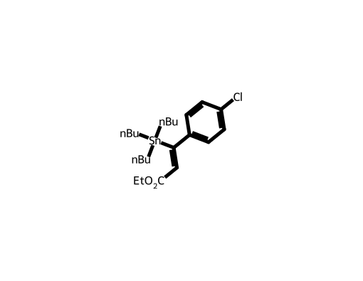 CCC[CH2][Sn]([CH2]CCC)([CH2]CCC)/[C](=C\C(=O)OCC)c1ccc(Cl)cc1